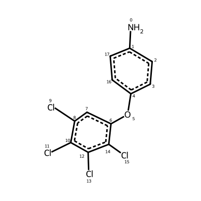 Nc1ccc(Oc2cc(Cl)c(Cl)c(Cl)c2Cl)cc1